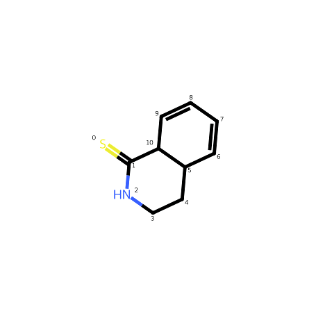 S=C1NCCC2C=CC=CC12